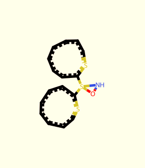 c1cccsc(S2(c3cccccccs3)NO2)ccc1